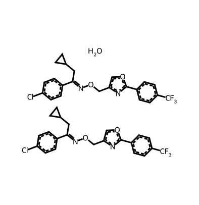 FC(F)(F)c1ccc(-c2nc(CO/N=C(\CC3CC3)c3ccc(Cl)cc3)co2)cc1.FC(F)(F)c1ccc(-c2nc(CO/N=C(\CC3CC3)c3ccc(Cl)cc3)co2)cc1.O